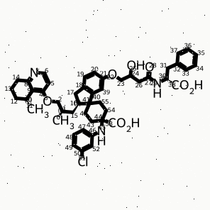 C[C@@H](COc1ccnc2c1[C@H](C)CCC2)C[C@H]1Cc2ccc(OCC(O)CC(=O)N[C@H](Cc3ccccc3)C(=O)O)cc2C12CCC(Nc1cccc(Cl)c1)(C(=O)O)CC2